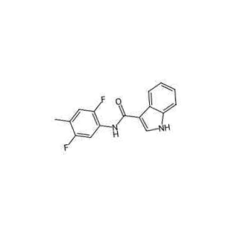 Cc1cc(F)c(NC(=O)c2c[nH]c3ccccc23)cc1F